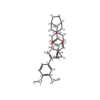 COc1ccc(-c2nc3ccc(C4CC5CCC(C4)N5C4CCN(C5CC5)CC4)cn3n2)cc1OC